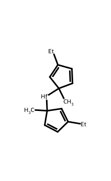 CCC1=C[C](C)([Hf][C]2(C)C=CC(CC)=C2)C=C1